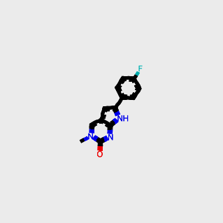 Cn1cc2cc(-c3ccc(F)cc3)[nH]c2nc1=O